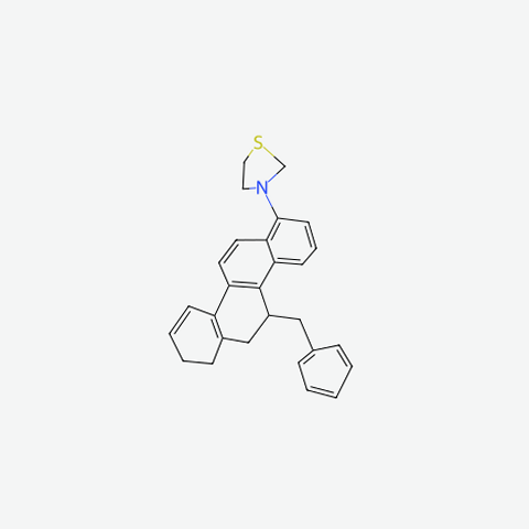 C1=CC2=C(CC1)CC(Cc1ccccc1)c1c2ccc2c(N3CCSC3)cccc12